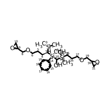 C[SiH](C)[C@H](CCCOCC1CO1)[Si](C)(c1ccccc1)C(O)[Si](C)(C)CCCOCC1CO1